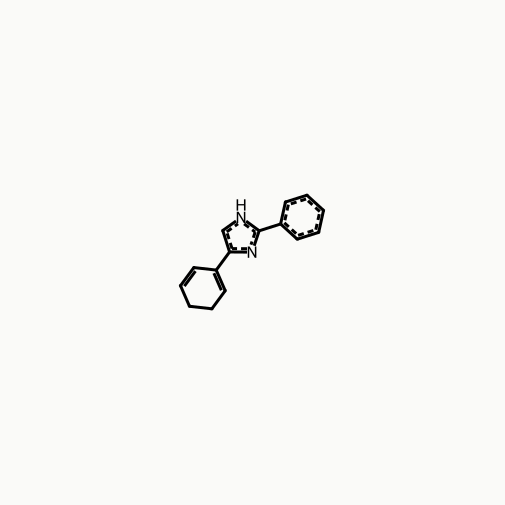 C1=CC(c2c[nH]c(-c3ccccc3)n2)=CCC1